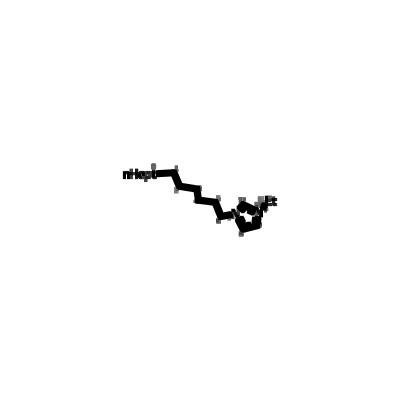 CCCCCCCCCCCCCn1cc[n+](CC)c1